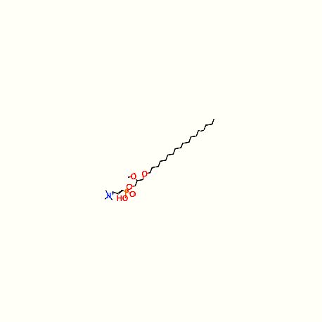 CCCCCCCCCCCCCCCCCCOCC(COP(=O)(O)CCC[N+](C)(C)C)OC